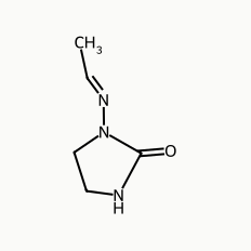 CC=NN1CCNC1=O